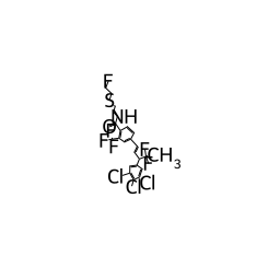 CC(F)(F)C(/C=C/c1ccc(C(=O)NCCSCCF)c(C(F)(F)F)c1)c1cc(Cl)c(Cl)c(Cl)c1